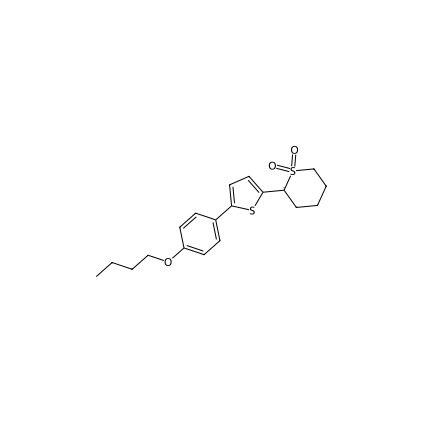 CCCCOc1ccc(-c2ccc([C]3CCCCS3(=O)=O)s2)cc1